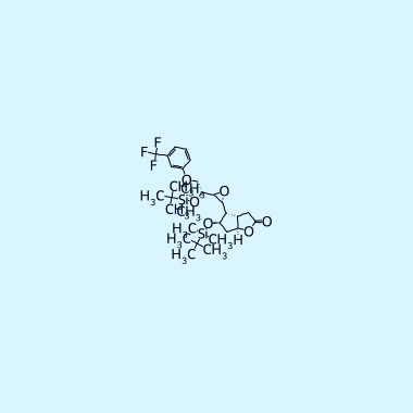 CC(C)(C)[Si](C)(C)O[C@H](COc1cccc(C(F)(F)F)c1)C1O[C@@H]1[C@@H]1C2CC(=O)O[C@H]2C[C@H]1O[Si](C)(C)C(C)(C)C